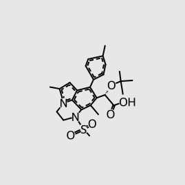 Cc1ccc(-c2c([C@H](OC(C)(C)C)C(=O)O)c(C)c3c4c2cc(C)n4CCN3S(C)(=O)=O)cc1